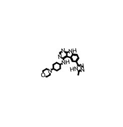 Cc1nnc(-c2ccc3[nH]c4ncnc(NC5CCC(N6CCOCC6)CC5)c4c3c2)[nH]1